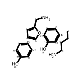 CCCCN.NCc1ccco1.Oc1ccccc1.Oc1ccccc1